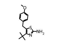 COc1ccc(Cc2sc(N)nc2C(C)(C)C)cc1